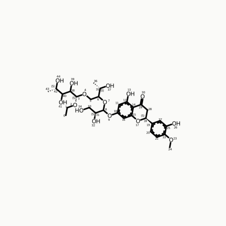 CCO[C@@H](OCC(OC(Oc1cc(O)c2c(c1)O[C@H](c1ccc(OC)c(O)c1)CC2=O)[C@@H](O)CO)[C@H](C)O)C(O)C(O)[C@H](C)O